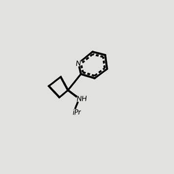 CC(C)NC1(c2ccccn2)CCC1